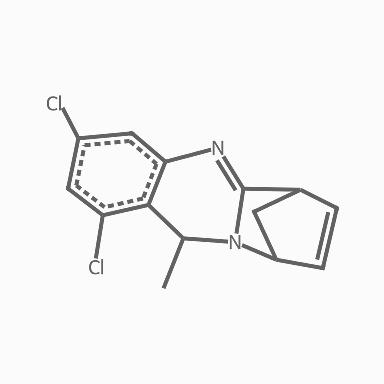 CC1c2c(Cl)cc(Cl)cc2N=C2C3C=CC(C3)N21